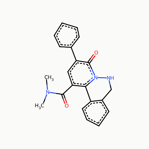 CN(C)C(=O)c1cc(-c2ccccc2)c(=O)n2c1-c1ccccc1CN2